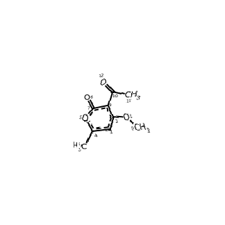 COc1cc(C)oc(=O)c1C(C)=O